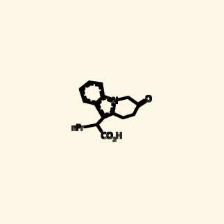 CCCC(C(=O)O)c1c2n(c3ccccc13)CC(=O)CC2